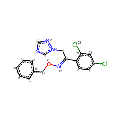 Clc1ccc(/C(Cn2cncn2)=N/OCc2ccccc2)c(Cl)c1